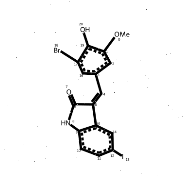 COc1cc(/C=C2\C(=O)Nc3ccc(I)cc32)cc(Br)c1O